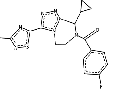 Cc1nsc(-c2nnc3n2CCN(C(=O)c2ccc(F)cc2)C3C2CC2)n1